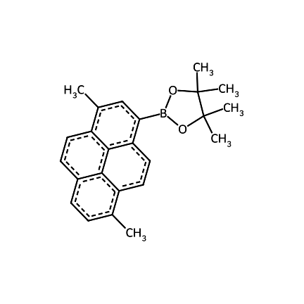 Cc1ccc2ccc3c(C)cc(B4OC(C)(C)C(C)(C)O4)c4ccc1c2c34